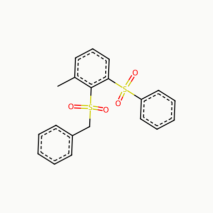 Cc1cccc(S(=O)(=O)c2ccccc2)c1S(=O)(=O)Cc1ccccc1